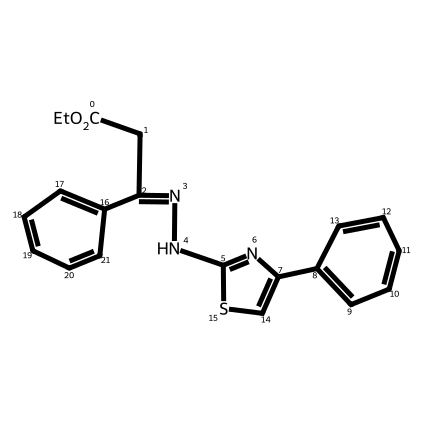 CCOC(=O)C/C(=N/Nc1nc(-c2ccccc2)cs1)c1ccccc1